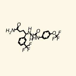 NC(=O)CCC(NNC(=O)Nc1ccc(OC(F)(F)F)cc1)c1cccc(C(F)(F)F)c1